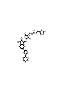 Cc1[nH]c(/C=C2\C(=O)Nc3ccc(-c4cnn(C5=CC=CCN5)c4)cc32)c(C)c1CONCCN1CCCC1